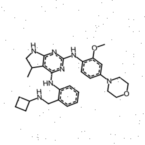 COc1cc(N2CCOCC2)ccc1Nc1nc2c(c(Nc3ccccc3CNC3CCC3)n1)C(C)CN2